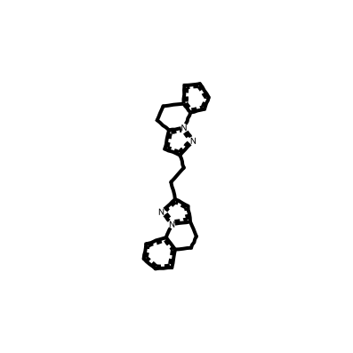 c1ccc2c(c1)CCc1cc(CCc3cc4n(n3)-c3ccccc3CC4)nn1-2